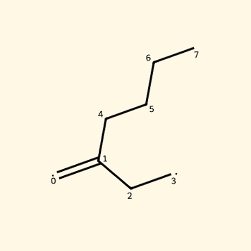 [CH]=C(C[CH2])CCCC